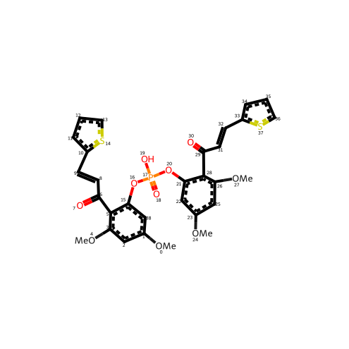 COc1cc(OC)c(C(=O)C=Cc2cccs2)c(OP(=O)(O)Oc2cc(OC)cc(OC)c2C(=O)C=Cc2cccs2)c1